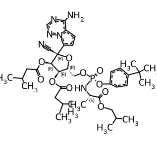 CC(C)COC(=O)[C@H](C)NP(=O)(OC[C@H]1O[C@@](C#N)(c2ccc3c(N)ncnn23)[C@H](OC(=O)CC(C)C)[C@@H]1OC(=O)CC(C)C)Oc1ccc(C(C)(C)C)cc1